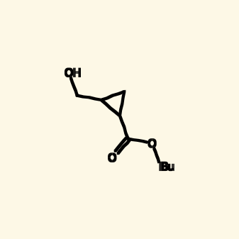 CCC(C)OC(=O)C1CC1CO